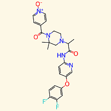 CC(C(=O)Nc1ccc(Oc2ccc(F)c(F)c2)cn1)N1CCN(C(=O)c2cc[n+]([O-])cc2)C(C)(C)C1